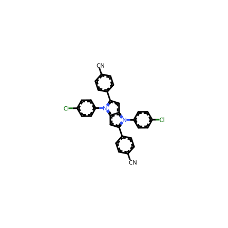 N#Cc1ccc(-c2cc3c(cc(-c4ccc(C#N)cc4)n3-c3ccc(Cl)cc3)n2-c2ccc(Cl)cc2)cc1